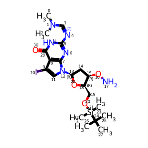 CN(C)/C=N\c1nc2c(c(I)cn2[C@H]2C[C@@H](ON)[C@@H](CO[Si](C)(C)C(C)(C)C)O2)c(=O)[nH]1